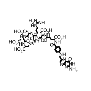 CCCSSC[C@H](NC(=O)[C@H](CC(=O)O)NC(=O)[C@H](CC(=O)O)NC(=O)[C@H](CCCNC(=N)N)NC(=O)[C@H](CC(=O)O)NC(=O)CC[C@H](NC(=O)c1ccc(NCc2cnc3nc(N)[nH]c(=O)c3n2)cc1)C(=O)O)C(=O)O